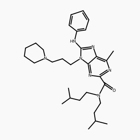 Cc1nc(C(=O)N(CCC(C)C)CCC(C)C)nc2c1nc(Nc1ccccc1)n2CCCN1CCCCC1